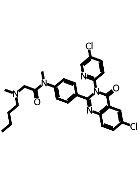 CCCCN(C)CC(=O)N(C)c1ccc(-c2nc3ccc(Cl)cc3c(=O)n2-c2ccc(Cl)cn2)cc1